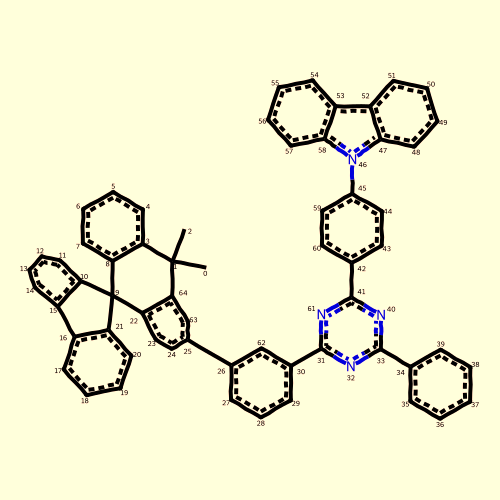 CC1(C)c2ccccc2C2(c3ccccc3-c3ccccc32)c2ccc(-c3cccc(-c4nc(-c5ccccc5)nc(-c5ccc(-n6c7ccccc7c7ccccc76)cc5)n4)c3)cc21